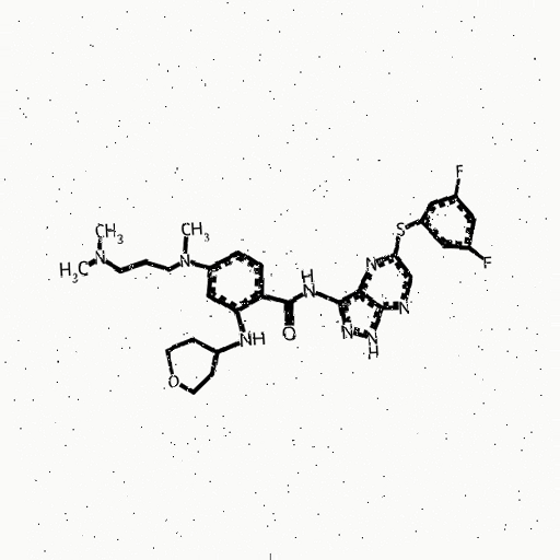 CN(C)CCCN(C)c1ccc(C(=O)Nc2n[nH]c3ncc(Sc4cc(F)cc(F)c4)nc23)c(NC2CCOCC2)c1